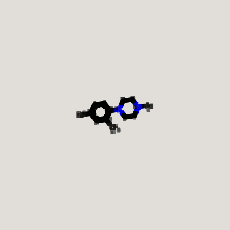 CCc1ccc(N2CCN(C(C)=O)CC2)c(C(F)(F)F)c1